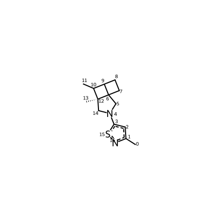 Cc1cc(N2CC34CCC3C(C)[C@]4(C)C2)sn1